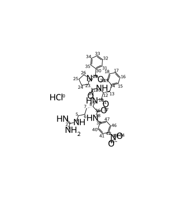 Cl.N=C(N)NCCC[C@H](NC(=O)[C@H](Cc1ccccc1)NC(=O)[C@@H]1CCCN1C(=O)c1ccccc1)C(=O)Nc1ccc([N+](=O)[O-])cc1